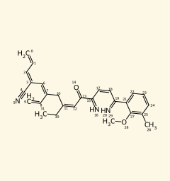 C=C/C=C(C#N)\C=C(/C=C)C/C(=C\C(=O)C(=N)/C=C\C(=N)c1cccc(C)c1OC)CC